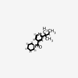 CCC(C)(C)c1cc(C(=O)N2CCCCC2)ccn1